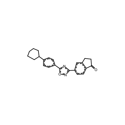 O=C1CCc2cc(-c3noc(-c4ccc(C5CCCCC5)cc4)n3)ccc21